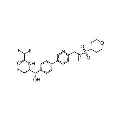 O=C(N[C@H](CF)[C@H](O)c1ccc(-c2ccc(CNS(=O)(=O)C3CCOCC3)nc2)cc1)C(F)F